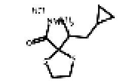 CNC(=O)C1(C(N)CC2CC2)SCCS1.Cl